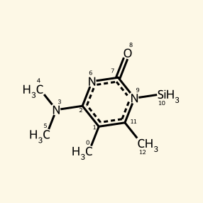 Cc1c(N(C)C)nc(=O)n([SiH3])c1C